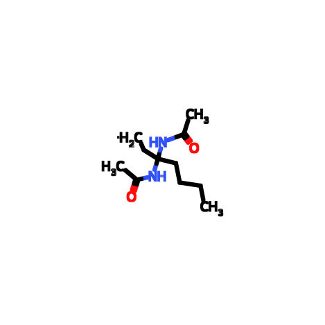 [CH2]CC(CCCC)(NC(C)=O)NC(C)=O